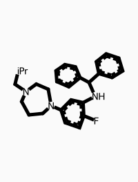 CC(C)CN1CCCN(c2ccc(F)c(NC(c3ccccc3)c3ccccc3)c2)CC1